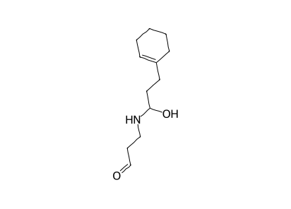 O=CCCNC(O)CCC1=CCCCC1